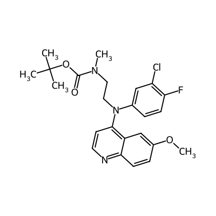 COc1ccc2nccc(N(CCN(C)C(=O)OC(C)(C)C)c3ccc(F)c(Cl)c3)c2c1